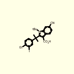 CCc1ccc(C(C)(C)c2c(C(=O)O)c3ccc(C#N)cc3n2C(C)(C)C)cc1I